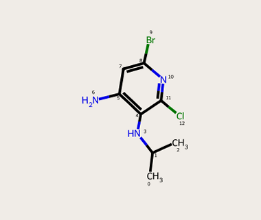 CC(C)Nc1c(N)cc(Br)nc1Cl